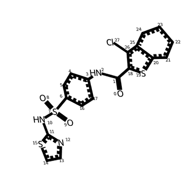 O=C(Nc1ccc(S(=O)(=O)Nc2nccs2)cc1)c1sc2ccccc2c1Cl